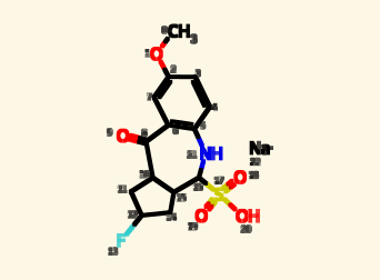 COc1ccc2c(c1)C(=O)C1CC(F)CC1C(S(=O)(=O)O)N2.[Na]